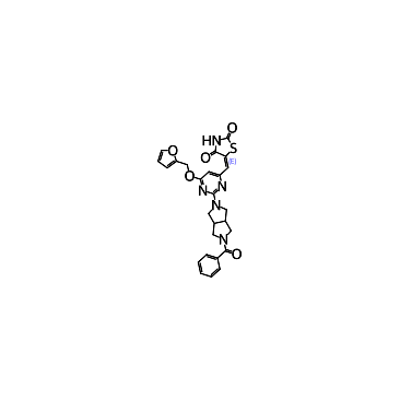 O=C1NC(=O)/C(=C\c2cc(OCc3ccco3)nc(N3CC4CN(C(=O)c5ccccc5)CC4C3)n2)S1